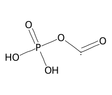 O=[C]OP(=O)(O)O